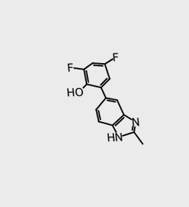 Cc1nc2cc(-c3cc(F)cc(F)c3O)ccc2[nH]1